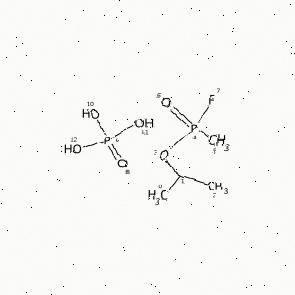 CC(C)OP(C)(=O)F.O=P(O)(O)O